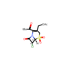 CC(=O)OCC1=C(C(=O)C(C)(C)C)N2C(=O)[C@H](Cl)[C@H]2S(=O)(=O)C1